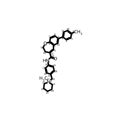 Cc1ccc(-c2ccc3c(c2)C=C(C(=O)Nc2ccc(C[N+]4(C)CCCCC4)cc2)CCO3)cc1